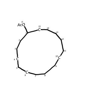 CC(=O)OC1CCCCCCCCCCCCCC1